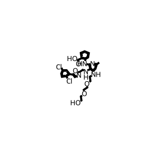 Cc1cc(NCCOCCOCCO)c(NCc2ncc(-c3cc(Cl)ccc3Cl)o2)c(Nc2ccccc2C(=O)O)n1